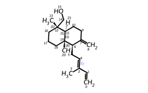 C=C/C(C)=C/C[C@@H]1C(=C)CC[C@@H]2[C@@](C)(CO)CCC[C@@]12C